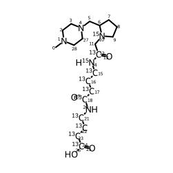 CN1CCN(CC2CCC[15N]2C[13C](=O)[15NH][13CH2][13CH2][13CH2][13C](=O)N[13CH2][13CH2][13CH2][13C](=O)O)CC1